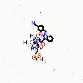 COc1cc(C#N)ccc1Cn1nc(C(=O)N[C@H](C(=O)NCCS(C)(=O)=O)C(C)(C)C)c2ccccc21